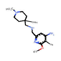 CCOc1nc(CNCC2(OC)CCN(C(=O)O)CC2)cc(N)c1C#N